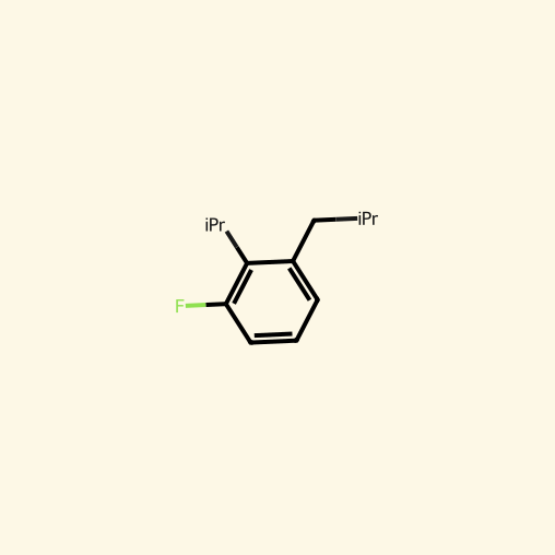 CC(C)Cc1cccc(F)c1C(C)C